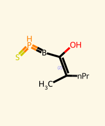 CCC/C(C)=C(\O)B=[PH]=S